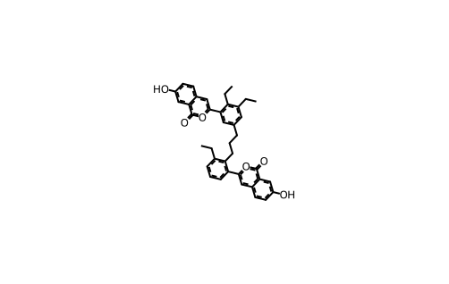 CCc1cc(CCCc2c(CC)cccc2-c2cc3ccc(O)cc3c(=O)o2)cc(-c2cc3ccc(O)cc3c(=O)o2)c1CC